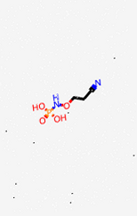 N#CCCONP(=O)(O)O